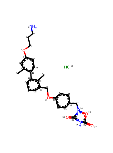 Cc1cc(OCCCN)ccc1-c1cccc(COc2ccc(Cn3oc(=O)[nH]c3=O)cc2)c1C.Cl